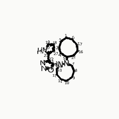 C1CCCCC(N2CCCCCCCN2)CCC1.c1c[nH]c(-c2conn2)c1